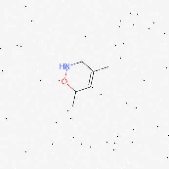 CC1=CC(C)ONC1